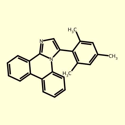 Cc1cc(C)c(-c2cnc3c4ccccc4c4ccccc4n23)c(C)c1